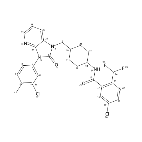 Cc1ccc(-n2c(=O)n(CC3CCC(NC(=O)c4cc(Cl)cnc4C(F)F)CC3)c3cccnc32)cc1Cl